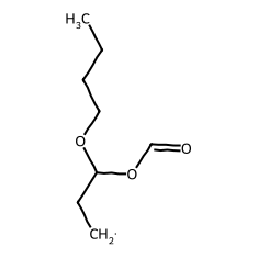 [CH2]CC(OC=O)OCCCC